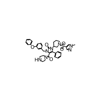 Cn1cc(S(=O)(=O)N2CCCC(n3c(-c4ccccc4)c(C(=O)N4CCNCC4)n(Cc4cccc(Oc5ccccc5)c4)c3=O)C2)cn1